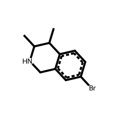 CC1NCc2cc(Br)ccc2C1C